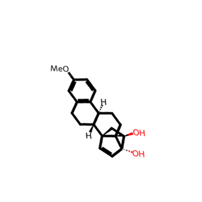 COc1ccc2c(c1)CC[C@@H]1[C@@H]2CC[C@@]2(C)[C@]13C=C[C@]2(O)[C@H](O)C3